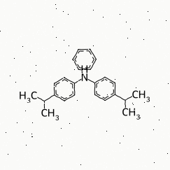 CC(C)c1ccc(Nc2ccc(C(C)C)cc2)cc1.c1ccccc1